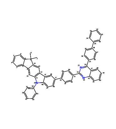 CC1(C)c2ccccc2-c2cc3c(cc21)c1cc(-c2ccc(-c4nc(-c5ccc(-c6ccccc6)cc5)c5ccccc5n4)cc2)ccc1n3-c1ccccc1